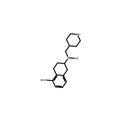 CCCN(CC1CCNCC1)C1CCc2c(cccc2OC)C1